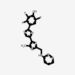 Cc1nc(CNc2cccnn2)sc1-c1csc(-c2cc(F)c(O)c(F)c2F)n1